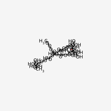 CCOCCOCCOCCC(=O)NC(COCCC(=O)NCCOCCOCCOC1OC(CO)C(O)C(O)C1NC(C)=O)(COCCC(=O)NCCOCCOCCOC1OC(CO)C(O)C(O)C1NC(C)=O)COCCC(=O)NCCOCCOCCOC1OC(CO)C(O)C(O)C1NC(C)=O